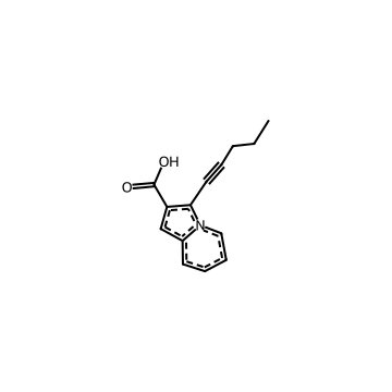 CCCC#Cc1c(C(=O)O)cc2ccccn12